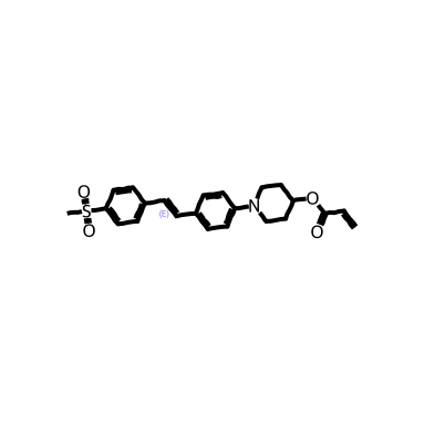 C=CC(=O)OC1CCN(c2ccc(/C=C/c3ccc(S(C)(=O)=O)cc3)cc2)CC1